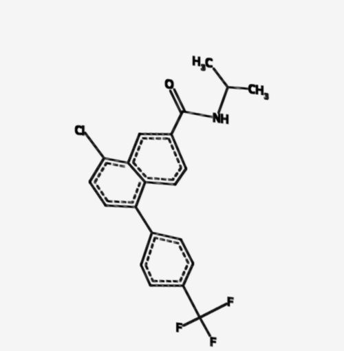 CC(C)NC(=O)c1ccc2c(-c3ccc(C(F)(F)F)cc3)ccc(Cl)c2c1